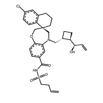 C=CCCS(=O)(=O)NC(=O)c1ccc2c(c1)N(C[C@@H]1CC[C@H]1[C@H](O)C=C)C[C@@]1(CCCc3cc(Cl)ccc31)CO2